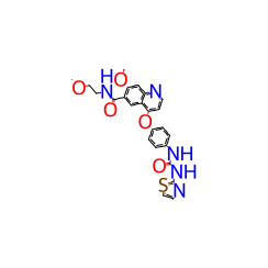 COCCNC(=O)c1cc2c(Oc3ccc(NC(=O)Nc4nccs4)cc3)ccnc2cc1OC